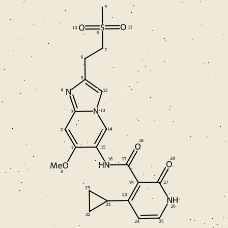 COc1cc2nc(CCS(C)(=O)=O)cn2cc1NC(=O)c1c(C2CC2)cc[nH]c1=O